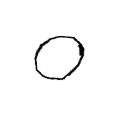 [CH]1CCC=CCCCCCCCC1